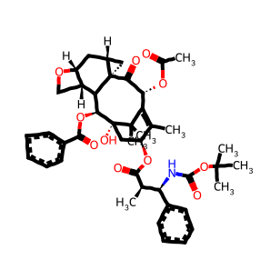 CC(=O)O[C@H]1C(=O)[C@]23C[C@H]2C[C@H]2OC[C@H]2C3[C@H](OC(=O)c2ccccc2)[C@]2(O)C[C@H](OC(=O)[C@H](C)[C@@H](NC(=O)OC(C)(C)C)c3ccccc3)C(C)=C1C2(C)C